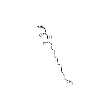 CCCCCCCCCCCC(=O)NC(=O)CN